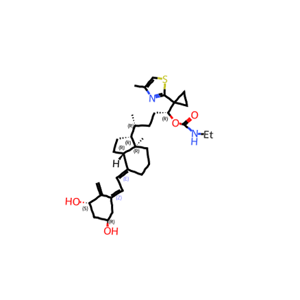 C=C1/C(=C\C=C2/CCC[C@]3(C)[C@@H]([C@H](C)CC[C@@H](OC(=O)NCC)C4(c5nc(C)cs5)CC4)CC[C@@H]23)C[C@@H](O)C[C@@H]1O